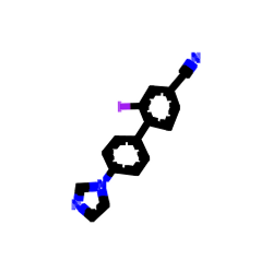 N#Cc1ccc(-c2ccc(-n3ccnc3)cc2)c(I)c1